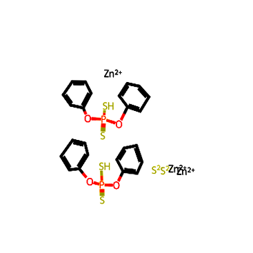 S=P(S)(Oc1ccccc1)Oc1ccccc1.S=P(S)(Oc1ccccc1)Oc1ccccc1.[S-2].[S-2].[Zn+2].[Zn+2].[Zn+2]